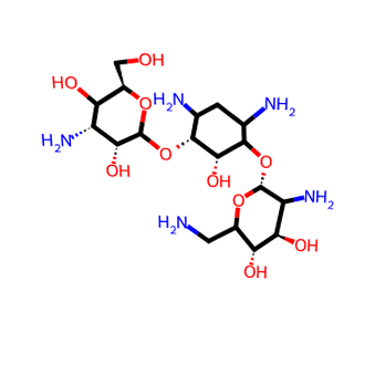 NCC1O[C@H](OC2C(N)CC(N)[C@@H](OC3O[C@H](CO)C(O)[C@@H](N)[C@H]3O)[C@H]2O)C(N)[C@@H](O)[C@@H]1O